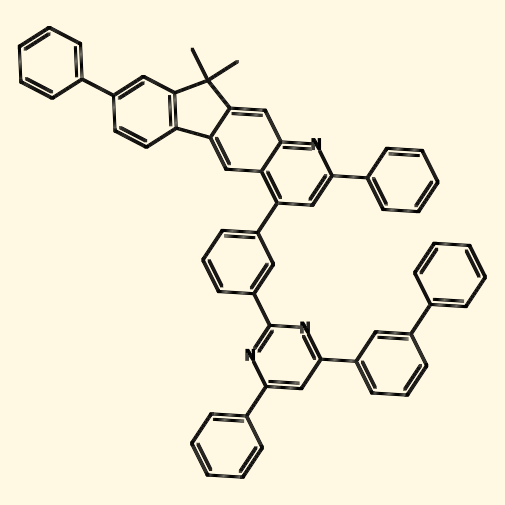 CC1(C)c2cc(-c3ccccc3)ccc2-c2cc3c(-c4cccc(-c5nc(-c6ccccc6)cc(-c6cccc(-c7ccccc7)c6)n5)c4)cc(-c4ccccc4)nc3cc21